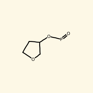 O=POC1CCOC1